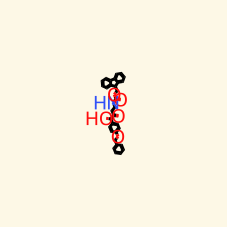 O=C(NCCC(=O)C(O)c1ccc(OCc2ccccc2)cc1)OCC1c2ccccc2-c2ccccc21